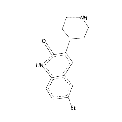 CCc1ccc2[nH]c(=O)c(C3CCNCC3)cc2c1